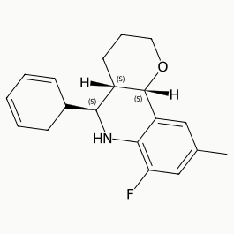 Cc1cc(F)c2c(c1)[C@H]1OCCC[C@H]1[C@H](C1C=CC=CC1)N2